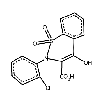 O=C(O)C1=C(O)c2ccccc2S(=O)(=O)N1c1ccccc1Cl